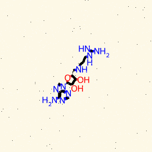 N=C(N)NCCCNC[C@H]1O[C@@H](n2cnc3c(N)ncnc32)C(O)C1O